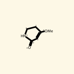 COC1=CC(=O)NCC1